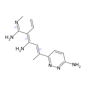 C=CC(=C(N)\C=C(/C)c1ccc(N)nn1)/C(N)=N\C